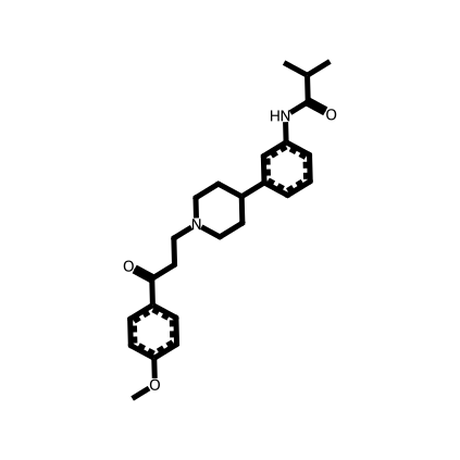 COc1ccc(C(=O)CCN2CCC(c3cccc(NC(=O)C(C)C)c3)CC2)cc1